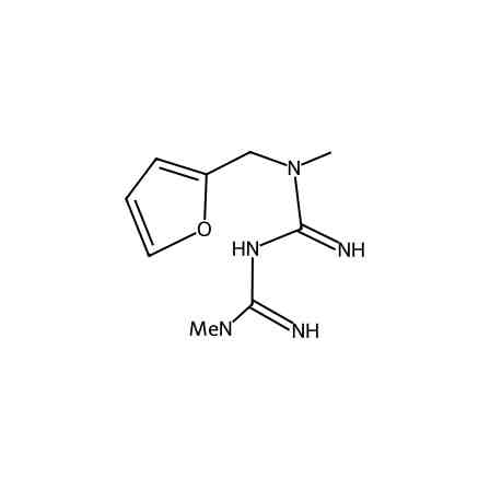 CNC(=N)NC(=N)N(C)Cc1ccco1